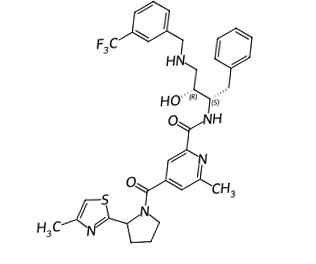 Cc1cc(C(=O)N2CCCC2c2nc(C)cs2)cc(C(=O)N[C@@H](Cc2ccccc2)[C@H](O)CNCc2cccc(C(F)(F)F)c2)n1